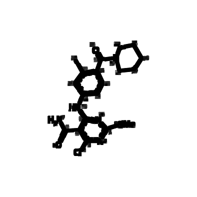 CSc1nc(Cl)c(C(N)=O)c(Nc2ccc(C(=O)N3CCCCC3)c(C)c2)n1